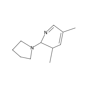 CC1=CC(C)C(N2CCCC2)N=C1